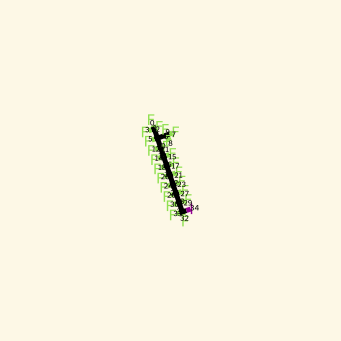 FC(F)(F)C(F)(C(F)(F)F)C(F)(F)C(F)(F)C(F)(F)C(F)(F)C(F)(F)C(F)(F)C(F)(F)C(F)(F)I